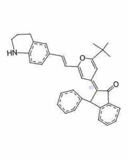 CC(C)(C)C1=C/C(=C2\C(=O)c3ccccc3C2c2ccccc2)C=C(C=Cc2ccc3c(c2)CCCN3)O1